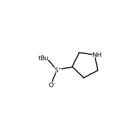 CC(C)(C)[S+]([O-])C1CCNC1